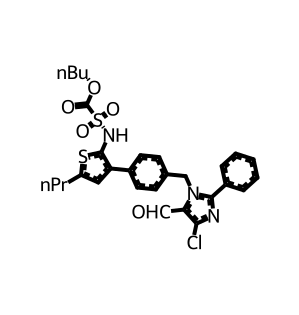 CCCCOC(=O)S(=O)(=O)Nc1sc(CCC)cc1-c1ccc(Cn2c(-c3ccccc3)nc(Cl)c2C=O)cc1